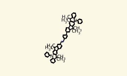 CC1(C)c2cc(/C=C/c3ccc(-c4ccc5c(c4)C(C)(C)c4cc6c(cc4-5)C(C)(C)c4ccccc4N6c4ccccc4)cc3)ccc2-c2cc3c(cc21)N(c1ccccc1)c1ccccc1C3(C)C